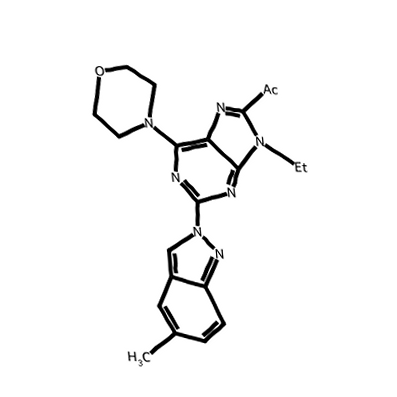 CCn1c(C(C)=O)nc2c(N3CCOCC3)nc(-n3cc4cc(C)ccc4n3)nc21